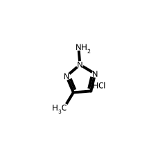 Cc1cnn(N)n1.Cl